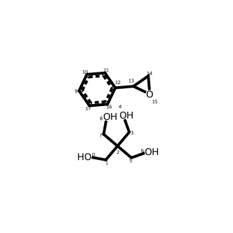 OCC(CO)(CO)CO.c1ccc(C2CO2)cc1